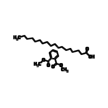 CCCCCCCCCCCCCCCCCC(=O)O.COC(=O)c1ccccc1C(=O)OC